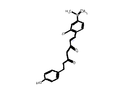 CN(C)c1ccc(/C=C/C(=O)CC(=O)CCc2ccc(O)cc2)c(Cl)c1